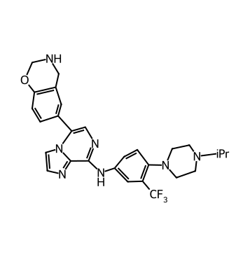 CC(C)N1CCN(c2ccc(Nc3ncc(-c4ccc5c(c4)CNCO5)n4ccnc34)cc2C(F)(F)F)CC1